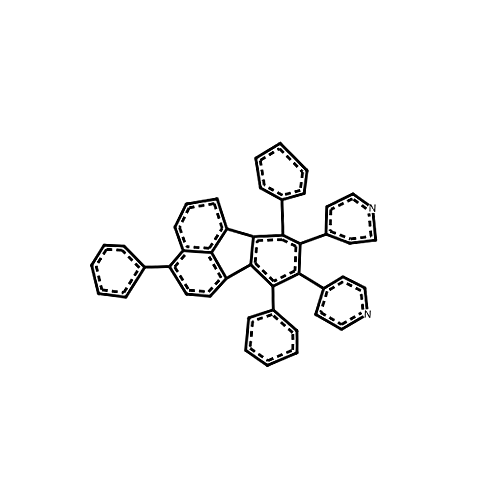 c1ccc(-c2c(-c3ccncc3)c(-c3ccncc3)c(-c3ccccc3)c3c2-c2cccc4c(-c5ccccc5)ccc-3c24)cc1